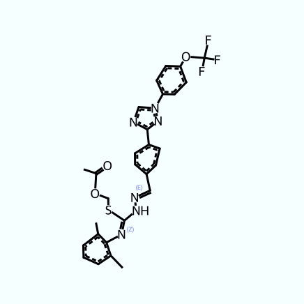 CC(=O)OCS/C(=N\c1c(C)cccc1C)N/N=C/c1ccc(-c2ncn(-c3ccc(OC(F)(F)F)cc3)n2)cc1